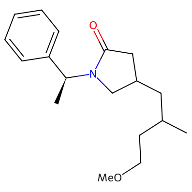 COCCC(C)CC1CC(=O)N([C@@H](C)c2ccccc2)C1